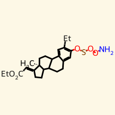 CCOC(=O)/C=C1\CCC2C3CCc4cc(OSOON)c(CC)cc4C3CC[C@]12C